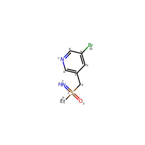 CCS(=N)(=O)Cc1cncc(Br)c1